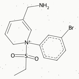 CCS(=O)(=O)[N+]1(c2cccc(Br)c2)C=C(CN)C=CC1